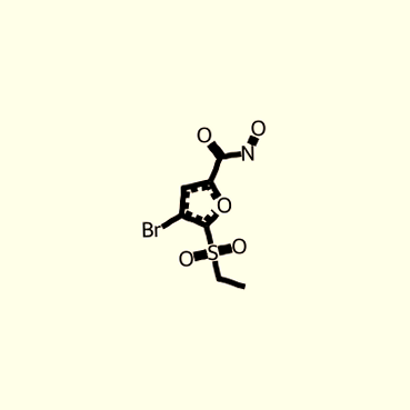 CCS(=O)(=O)c1oc(C(=O)N=O)cc1Br